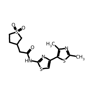 Cc1nc(C)c(-c2csc(NC(=O)CC3CCS(=O)(=O)C3)n2)s1